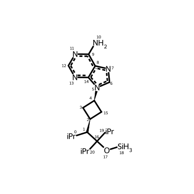 CC(C)C([C@H]1C[C@@H](n2cnc3c(N)ncnc32)C1)C(O[SiH3])(C(C)C)C(C)C